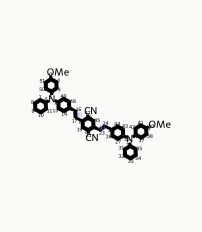 COc1ccc(N(c2ccccc2)c2ccc(/C=C/c3cc(C#N)c(/C=C/c4ccc(N(c5ccccc5)c5ccc(OC)cc5)cc4)cc3C#N)cc2)cc1